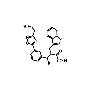 CCCCCCCCCCCc1noc(-c2cccc(C(CC)N(Cc3csc4ccccc34)C(=O)C(=O)O)c2)n1